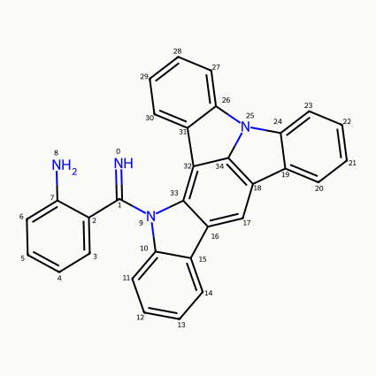 N=C(c1ccccc1N)n1c2ccccc2c2cc3c4ccccc4n4c5ccccc5c(c21)c34